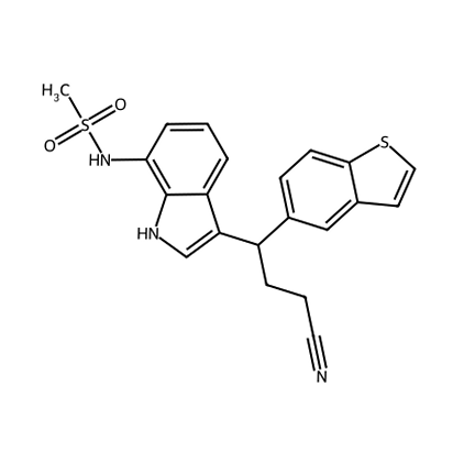 CS(=O)(=O)Nc1cccc2c(C(CCC#N)c3ccc4sccc4c3)c[nH]c12